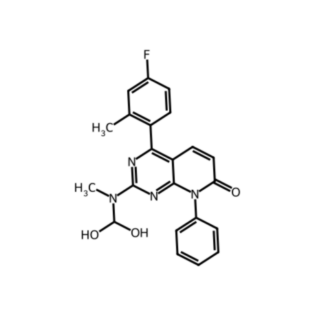 Cc1cc(F)ccc1-c1nc(N(C)C(O)O)nc2c1ccc(=O)n2-c1ccccc1